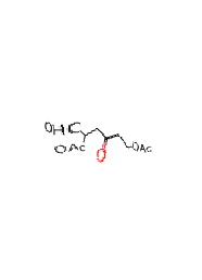 CC(=O)OCCC(=O)CC(C=O)OC(C)=O